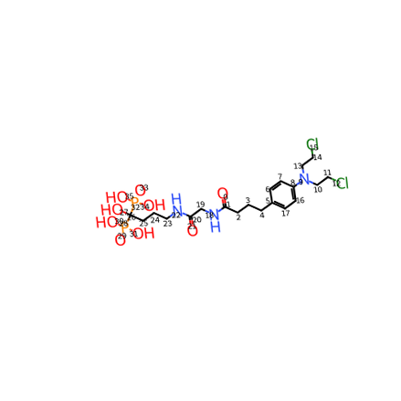 O=C(CCCc1ccc(N(CCCl)CCCl)cc1)NCC(=O)NCCCC(O)(P(=O)(O)O)P(=O)(O)O